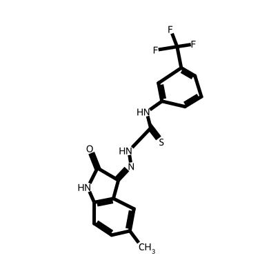 Cc1ccc2c(c1)/C(=N/NC(=S)Nc1cccc(C(F)(F)F)c1)C(=O)N2